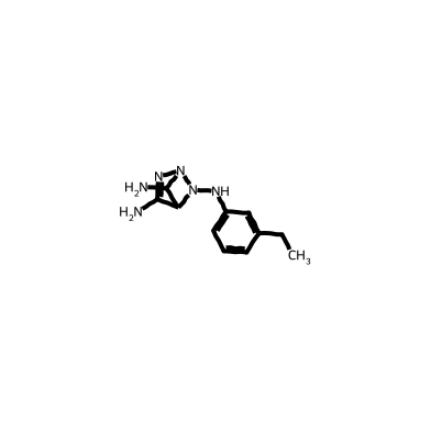 CCc1cccc(NN2C3C(N)=NN2C3N)c1